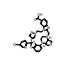 C[C@]1(c2ccc(Cl)cn2)Oc2cccc(N3CCN(Cc4nc5ccc(C(=O)O)cc5n4CCn4cccn4)[C@@H]4COC[C@@H]43)c2O1